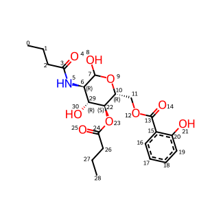 CCCC(=O)N[C@H]1C(O)O[C@H](COC(=O)c2ccccc2O)[C@@H](OC(=O)CCC)[C@@H]1O